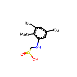 CCC(C)c1cc(C(C)(C)C)cc(NCS(=O)O)c1OC